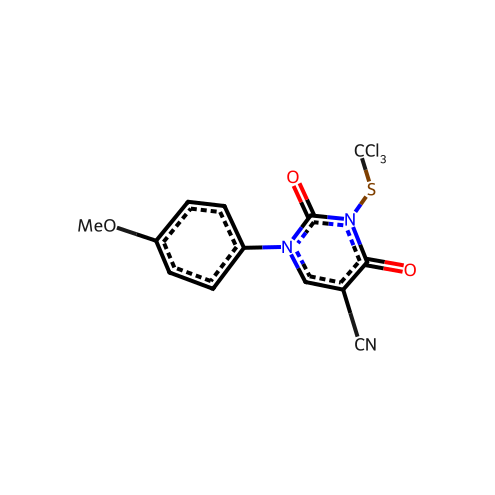 COc1ccc(-n2cc(C#N)c(=O)n(SC(Cl)(Cl)Cl)c2=O)cc1